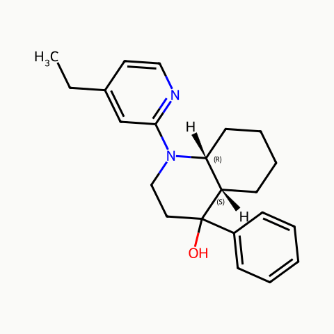 CCc1ccnc(N2CCC(O)(c3ccccc3)[C@H]3CCCC[C@H]32)c1